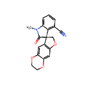 CN1C(=O)C2(COc3cc4c(cc32)OCCO4)c2c(C#N)cccc21